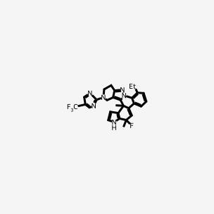 CCc1cccc2c1-n1nc3c(c1C1(C)C2=CC(C)(F)c2[nH]ccc21)CN(c1ncc(C(F)(F)F)cn1)CC3